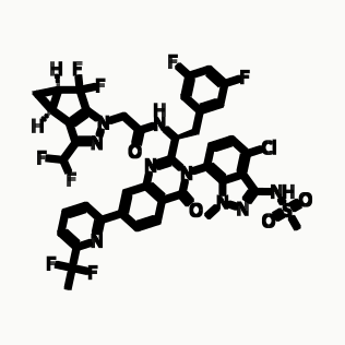 Cn1nc(NS(C)(=O)=O)c2c(Cl)ccc(-n3c([C@H](Cc4cc(F)cc(F)c4)NC(=O)Cn4nc(C(F)F)c5c4C(F)(F)[C@@H]4C[C@H]54)nc4cc(-c5cccc(C(C)(F)F)n5)ccc4c3=O)c21